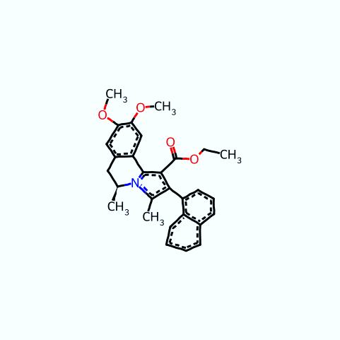 CCOC(=O)c1c(-c2cccc3ccccc23)c(C)n2c1-c1cc(OC)c(OC)cc1C[C@@H]2C